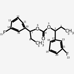 CCC(OC(=O)OC(CC)c1cccc(F)c1)c1cccc(F)c1